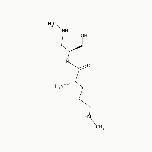 CNCCC[C@H](N)C(=O)N[C@H](CO)CNC